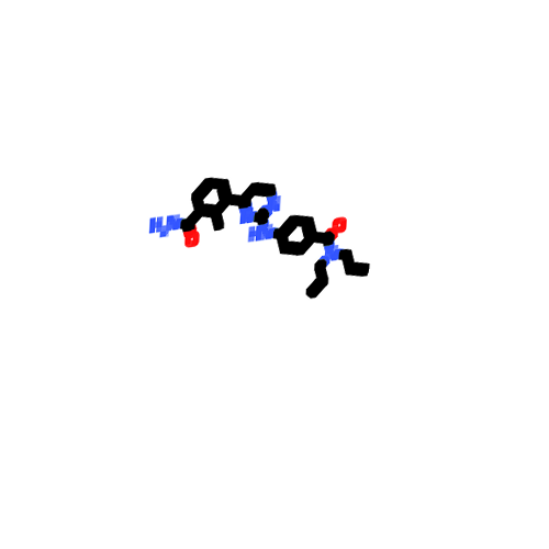 C=CCN(CC=C)C(=O)c1ccc(Nc2nccc(-c3cccc(C(N)=O)c3C)n2)cc1